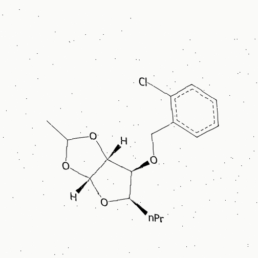 CCC[C@H]1O[C@@H]2OC(C)O[C@@H]2[C@H]1OCc1ccccc1Cl